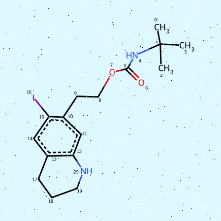 CC(C)(C)NC(=O)OCCc1cc2c(cc1I)CCCN2